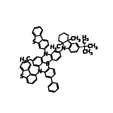 Cc1cc2c3c(c1)N(c1cccc4sc5ccccc5c14)c1cc(-c4ccccc4)ccc1B3c1ccc(N3c4ccc(C(C)(C)C)cc4C4(C)CCCCC34C)cc1N2c1ccc2c(c1)sc1ccccc12